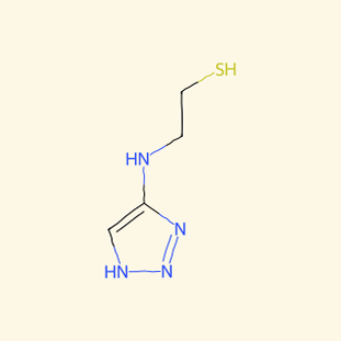 SCCNc1c[nH]nn1